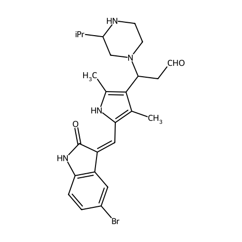 Cc1[nH]c(C=C2C(=O)Nc3ccc(Br)cc32)c(C)c1C(CC=O)N1CCNC(C(C)C)C1